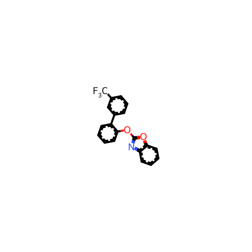 FC(F)(F)c1cccc(-c2ccccc2Oc2nc3ccccc3o2)c1